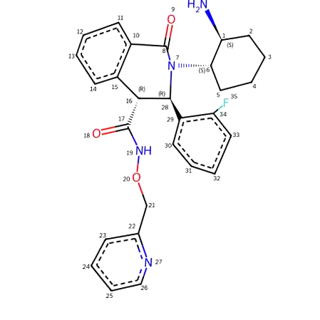 N[C@H]1CCCC[C@@H]1N1C(=O)c2ccccc2[C@@H](C(=O)NOCc2ccccn2)[C@@H]1c1ccccc1F